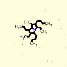 C=C/C=C\c1c(C)c2/c(=C\C=C)c(C=C)c(/C=C\C=C)n2c1C=C